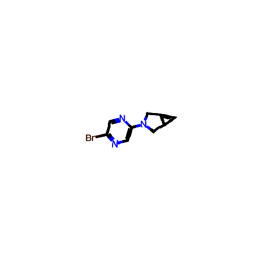 Brc1cnc(N2CC3=CC3C2)cn1